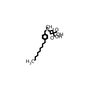 CCCCCCCCCCc1ccc(CN(C)C2CC(C(=O)O)(C(=O)O)C2)cc1